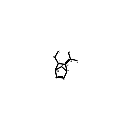 CCC1C(=C(C)C)C2C=CC1C2